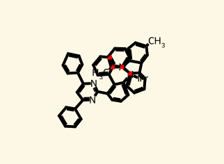 Cc1ccc2c(c1)c1ccccc1n2-c1ccccc1-c1c(-c2nc(-c3ccccc3)cc(-c3ccccc3)n2)cccc1N(c1ccccc1C)C(C)C